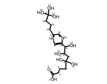 O=C(O)CCCC(O)(O)CC(O)C(O)c1cnc(CCCC(O)(O)O)cn1